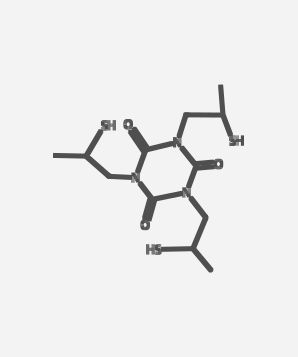 CC(S)Cn1c(=O)n(CC(C)S)c(=O)n(CC(C)S)c1=O